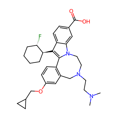 CN(C)CCN1CCn2c(c([C@H]3CCCC[C@@H]3F)c3ccc(C(=O)O)cc32)-c2ccc(OCC3CC3)cc2C1